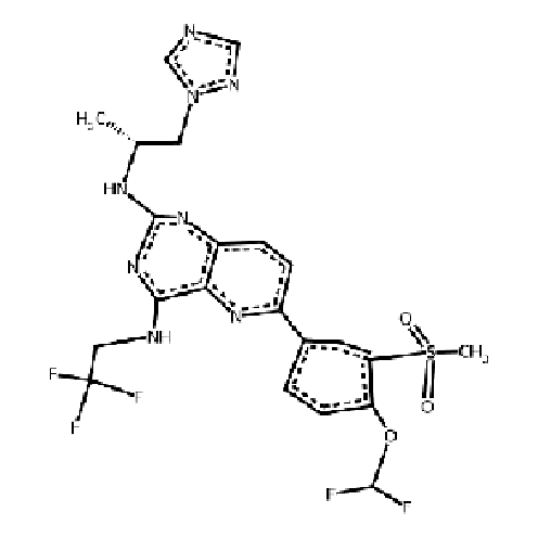 C[C@H](Cn1cncn1)Nc1nc(NCC(F)(F)F)c2nc(-c3ccc(OC(F)F)c(S(C)(=O)=O)c3)ccc2n1